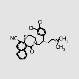 CN(C)CC[C@H](CN1CCSc2c(C#N)cc3ccccc3c2C1=O)c1ccc(Cl)c(Cl)c1